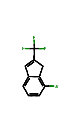 FC(F)(F)C1=Cc2cccc(Br)c2C1